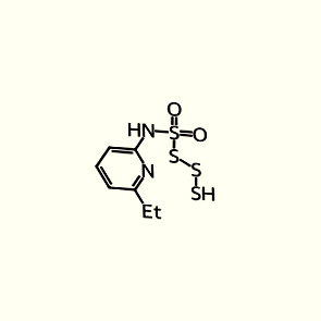 CCc1cccc(NS(=O)(=O)SSS)n1